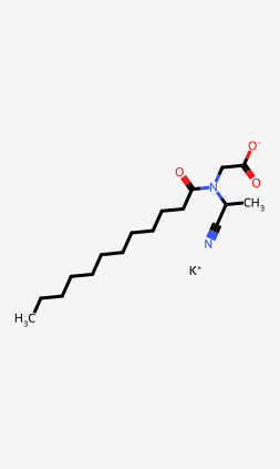 CCCCCCCCCCCC(=O)N(CC(=O)[O-])C(C)C#N.[K+]